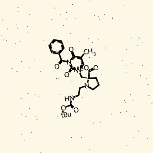 COC(=O)[C@]1(Cn2cc(C)c(=O)n(C(=O)c3ccccc3)c2=O)CCCN1CCNC(=O)OC(C)(C)C